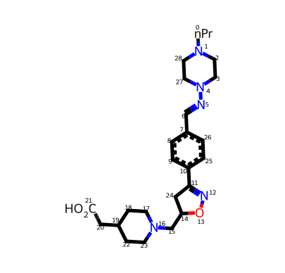 CCCN1CCN(N=Cc2ccc(C3=NOC(CN4CCC(CC(=O)O)CC4)C3)cc2)CC1